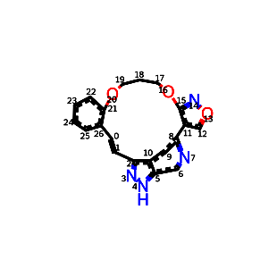 C1=C/c2n[nH]c3cnc(cc23)-c2conc2OCCCOc2ccccc2/1